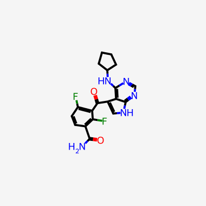 NC(=O)c1ccc(F)c(C(=O)c2c[nH]c3ncnc(NC4CCCC4)c23)c1F